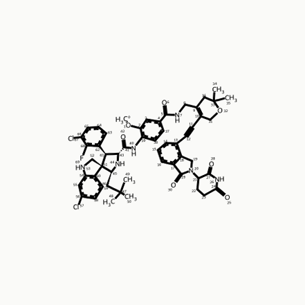 COc1cc(C(=O)NCC2=C(C#Cc3cccc4c3CN(C3CCC(=O)NC3=O)C4=O)COC(C)(C)C2)ccc1NC(=O)[C@@H]1N[C@@H](CC(C)(C)C)[C@@]2(CNc3cc(Cl)ccc32)[C@H]1c1cccc(Cl)c1F